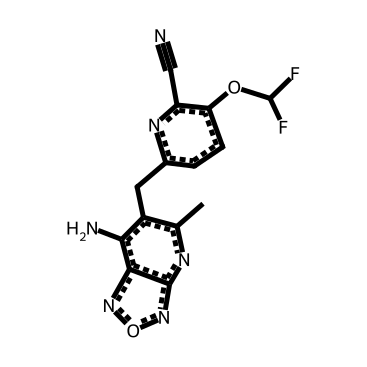 Cc1nc2nonc2c(N)c1Cc1ccc(OC(F)F)c(C#N)n1